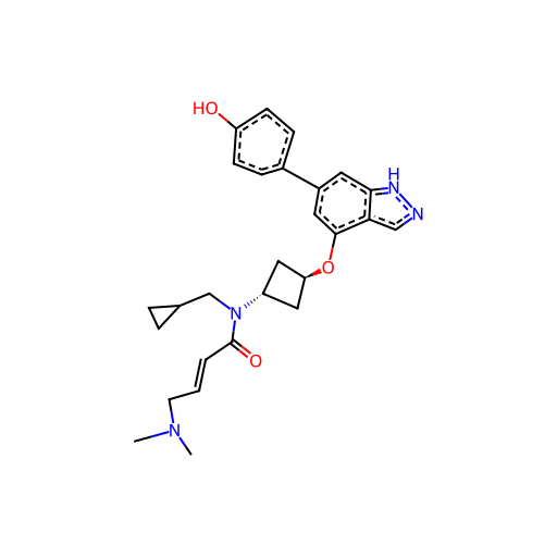 CN(C)C/C=C/C(=O)N(CC1CC1)[C@H]1C[C@H](Oc2cc(-c3ccc(O)cc3)cc3[nH]ncc23)C1